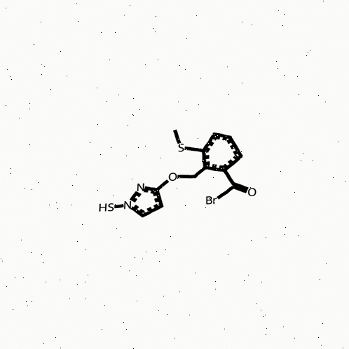 CSc1cccc(C(=O)Br)c1COc1ccn(S)n1